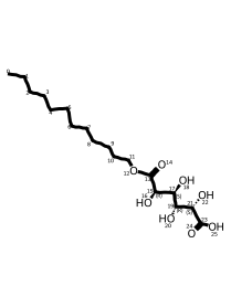 CCCCCCCCCCCCOC(=O)[C@H](O)[C@@H](O)[C@@H](O)[C@H](O)C(=O)O